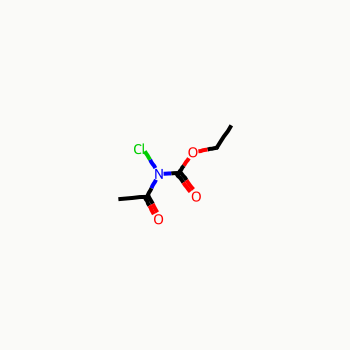 CCOC(=O)N(Cl)C(C)=O